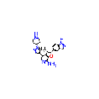 Cc1c(-c2ccc3[nH]ncc3c2)oc2c1C(c1cnn(C3CCNCC3)c1)CN=C2N